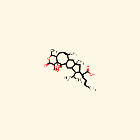 C=C1C2CC3C(C(C)C)C(C(=CC=CC)C(=O)O)CC3(C)CC2C(C)=CCC2C(C)OC(=O)C(O)C12O